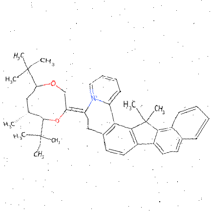 C[C@@H]1CC(C(C)(C)C)OC/C(=C2/Cc3ccc4c(c3-c3cccc[n+]32)C(C)(C)c2c-4ccc3ccccc23)OC1C(C)(C)C